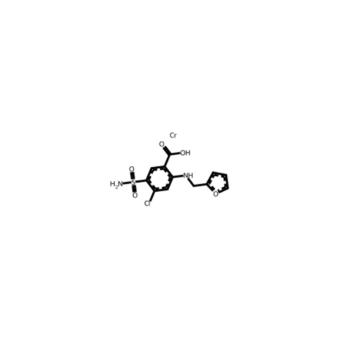 NS(=O)(=O)c1cc(C(=O)O)c(NCc2ccco2)cc1Cl.[Cr]